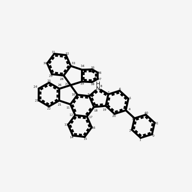 c1ccc(-c2ccc3[nH]c4c5c(c6ccccc6c4c3c2)-c2ccccc2C52c3ccccc3-c3ccccc32)cc1